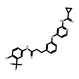 O=C(CCc1cccc(Oc2ccnc(NC(=O)C3CC3)c2)c1)Nc1ccc(Cl)c(C(F)(F)F)c1